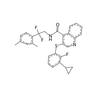 Cc1ccc(C(F)(F)CNC(=O)c2c(Sc3cccc(C4CC4)c3F)cnc3ccccc23)c(C)c1